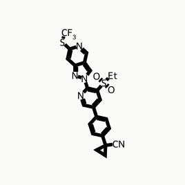 CCS(=O)(=O)c1cc(-c2ccc(C3(C#N)CC3)cc2)cnc1-n1cc2cnc(SC(F)(F)F)cc2n1